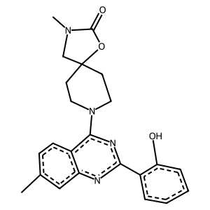 Cc1ccc2c(N3CCC4(CC3)CN(C)C(=O)O4)nc(-c3ccccc3O)nc2c1